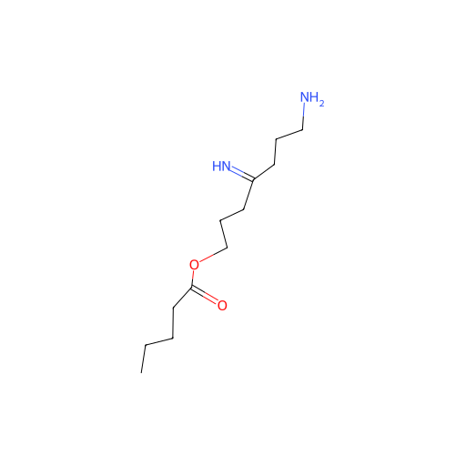 CCCCC(=O)OCCCC(=N)CCCN